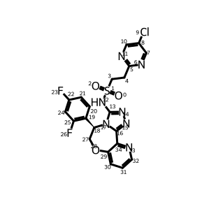 O=S(=O)(CCc1ncc(Cl)cn1)Nc1nnc2n1[C@H](c1ccc(F)cc1F)COc1cccnc1-2